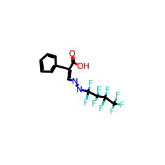 O=C(O)C(=CN=NC(F)(F)C(F)(F)C(F)(F)C(F)(F)F)c1ccccc1